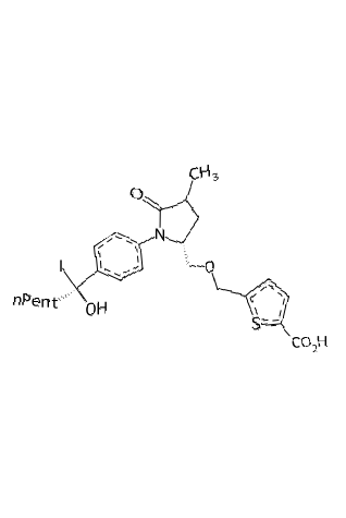 CCCCC[C@](O)(I)c1ccc(N2C(=O)C(C)C[C@@H]2COCc2ccc(C(=O)O)s2)cc1